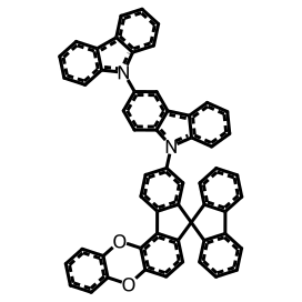 c1ccc2c(c1)Oc1ccc3c(c1O2)-c1ccc(-n2c4ccccc4c4cc(-n5c6ccccc6c6ccccc65)ccc42)cc1C31c2ccccc2-c2ccccc21